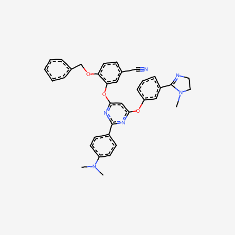 CN1CCN=C1c1cccc(Oc2cc(Oc3cc(C#N)ccc3OCc3ccccc3)nc(-c3ccc(N(C)C)cc3)n2)c1